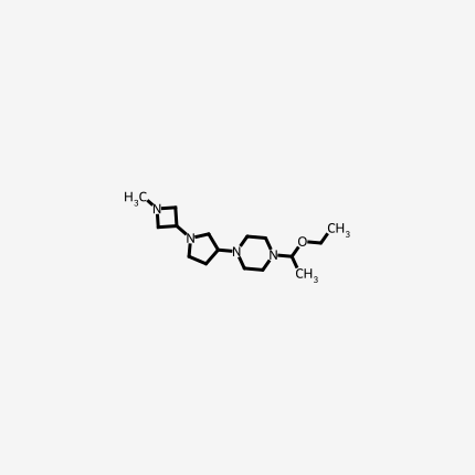 CCOC(C)N1CCN(C2CCN(C3CN(C)C3)C2)CC1